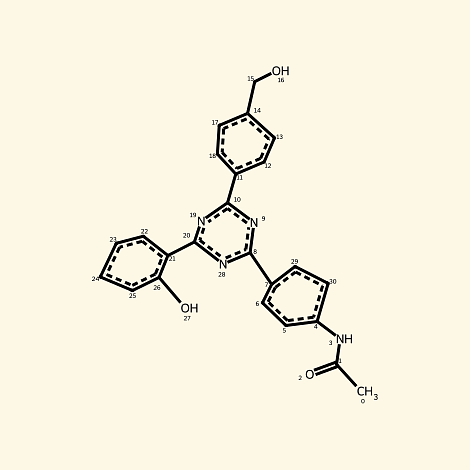 CC(=O)Nc1ccc(-c2nc(-c3ccc(CO)cc3)nc(-c3ccccc3O)n2)cc1